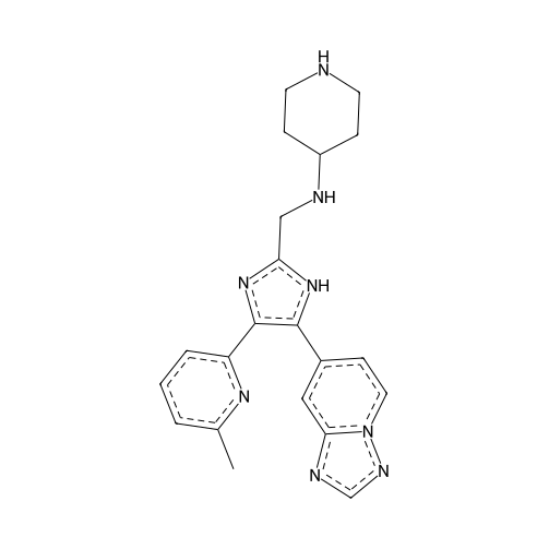 Cc1cccc(-c2nc(CNC3CCNCC3)[nH]c2-c2ccn3ncnc3c2)n1